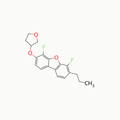 CCCc1ccc2c(oc3c(F)c(OC4CCOC4)ccc32)c1F